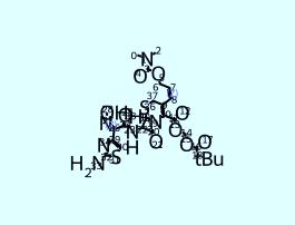 CN(C)C(=O)OC/C=C\C1=C(C(=O)OCOC(=O)C(C)(C)C)N2C(=O)C(NC(=O)/C(=N\O)c3csc(N)n3)[C@H]2SC1